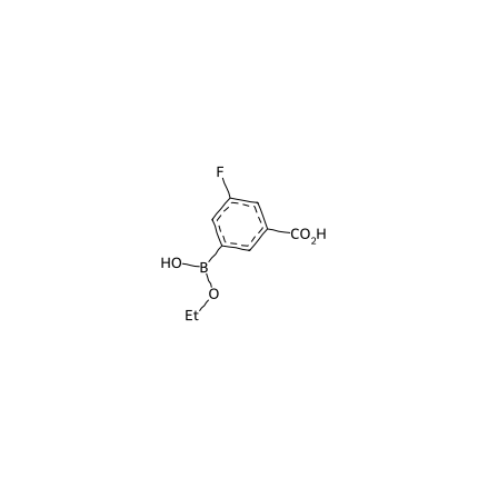 CCOB(O)c1cc(F)cc(C(=O)O)c1